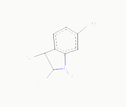 CCN1c2cc(OC)ccc2C(C#N)C1C